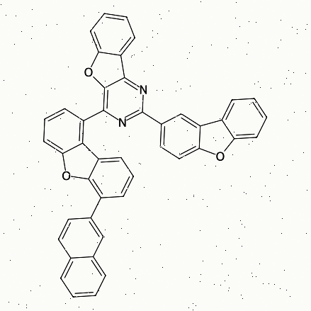 c1ccc2cc(-c3cccc4c3oc3cccc(-c5nc(-c6ccc7oc8ccccc8c7c6)nc6c5oc5ccccc56)c34)ccc2c1